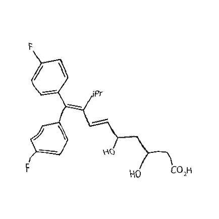 CC(C)C(C=CC(O)CC(O)CC(=O)O)=C(c1ccc(F)cc1)c1ccc(F)cc1